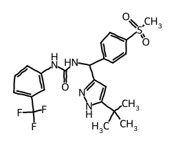 CC(C)(C)c1cc(C(NC(=O)Nc2cccc(C(F)(F)F)c2)c2ccc(S(C)(=O)=O)cc2)n[nH]1